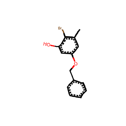 Cc1cc(OCc2ccccc2)cc(O)c1Br